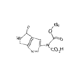 CC(C)(C)OC(=O)N(C(=O)O)c1cnc2c(c1)C(=O)NC2